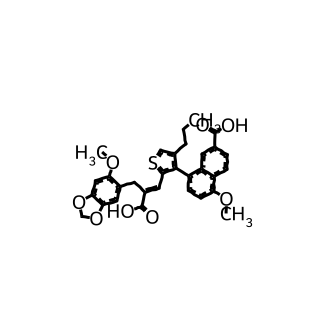 CCCc1csc(/C=C(\Cc2cc3c(cc2OC)OCO3)C(=O)O)c1-c1ccc(OC)c2ccc(C(=O)O)cc12